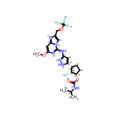 COc1cc2nc(COC(F)(F)F)cn2c(Nc2cc([C@@H]3CC[C@H](OC(=O)NC(C)C)[C@@H]3F)[nH]n2)n1